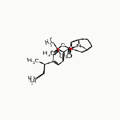 CC(CN)c1ccc(N2CC3CCC(C2)N3C(=O)OC(C)(C)C)cc1